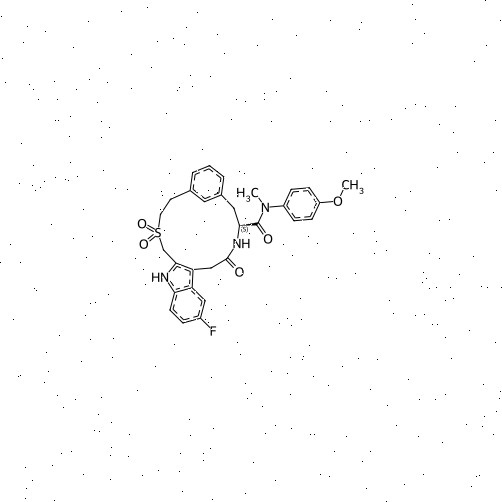 COc1ccc(N(C)C(=O)[C@@H]2Cc3cccc(c3)CCS(=O)(=O)Cc3[nH]c4ccc(F)cc4c3CC(=O)N2)cc1